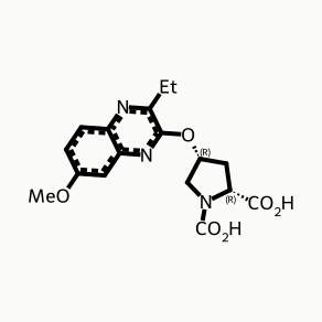 CCc1nc2ccc(OC)cc2nc1O[C@@H]1C[C@H](C(=O)O)N(C(=O)O)C1